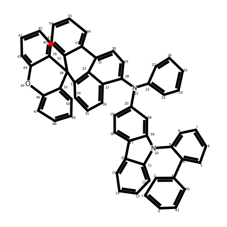 c1ccc(-c2ccccc2-n2c3ccccc3c3ccc(N(c4ccccc4)c4ccc5c6c(cccc46)C4(c6ccccc6Oc6ccccc64)c4ccccc4-5)cc32)cc1